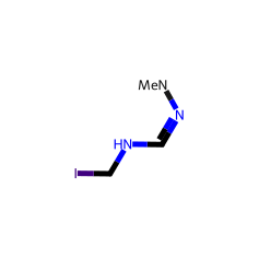 CN/N=C\NCI